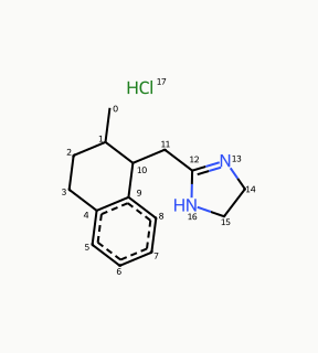 CC1CCc2ccccc2C1CC1=NCCN1.Cl